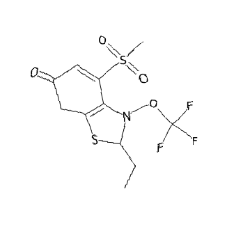 CCC1SC2=C(C(S(C)(=O)=O)=CC(=O)C2)N1OC(F)(F)F